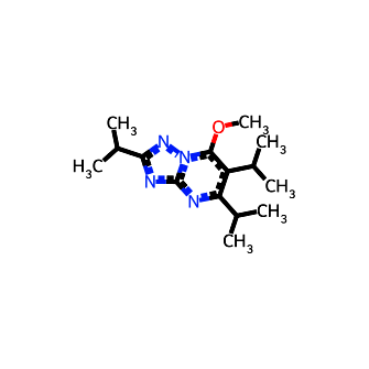 COc1c(C(C)C)c(C(C)C)nc2nc(C(C)C)nn12